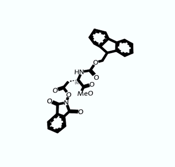 COC(=O)[C@H](CC(=O)ON1C(=O)c2ccccc2C1=O)NC(=O)OCC1c2ccccc2-c2ccccc21